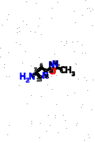 Cc1nnc(-c2ccc(N)cn2)o1